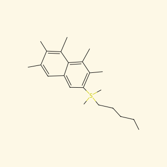 CCCCCS(C)(C)c1cc2cc(C)c(C)c(C)c2c(C)c1C